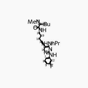 CCCNc1nc(Nc2cccc(F)c2)ncc1C#CCCCNC(=O)[C@@H](NC)C(C)CC